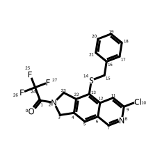 O=C(N1Cc2cc3cnc(Cl)cc3c(SCc3ccccc3)c2C1)C(F)(F)F